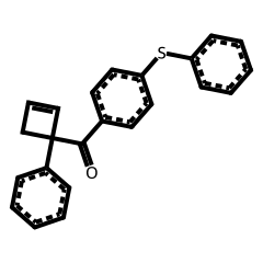 O=C(c1ccc(Sc2ccccc2)cc1)C1(c2ccccc2)C=CC1